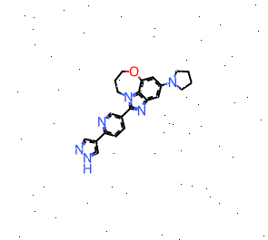 c1n[nH]cc1-c1ccc(-c2nc3cc(N4CCCC4)cc4c3n2CCCO4)cn1